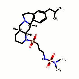 CC(C)Cc1ccc2c(c1)CCN1C[C@H]3CCCN(S(=O)(=O)CCCNS(=O)(=O)N(C)C)[C@H]3C[C@@H]21